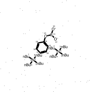 CCCC[N+](CCCC)(CCCC)CCCC.CCCC[N+](CCCC)(CCCC)CCCC.[O-]B([O-])Oc1ccccc1